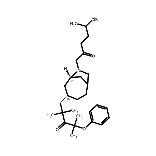 CC(CCC(=O)CN1CC2CC[C@H](CC(C)(C)C(=O)C(C)(C)Oc3ccccc3)C[C@H]1C2)C(C)(C)C